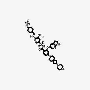 CS(C)(=O)=NC1CCC(CNc2ncc(S(=O)(=O)NC(=O)c3ccc(N4CCC5(CC4)CC(N4CCNCC4)C5)cc3Oc3cnc4[nH]ccc4c3)cc2[N+](=O)[O-])CC1